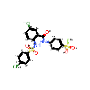 O=C(Nc1ccc(S(=O)(=O)F)cc1)c1cc(Cl)ccc1NS(=O)(=O)c1ccc(Cl)cc1